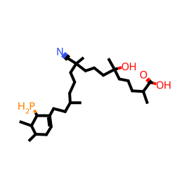 CC(CCCC(C)(C#N)CCCC(C)(O)CCCC(C)C(=O)O)CCC1=CCC(C)C(C)C1P